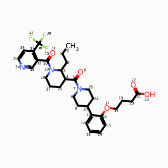 CCCC1C(C(=O)N2CCC(c3ccccc3OCCCC(=O)O)CC2)CCCN1C(=O)c1cnccc1C(F)(F)F